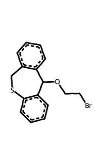 BrCCOC1c2ccccc2CSc2ccccc21